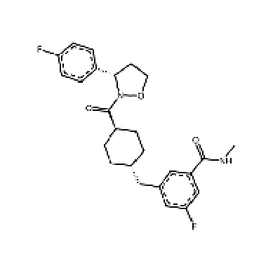 CNC(=O)c1cc(F)cc(C[C@H]2CC[C@H](C(=O)N3OCC[C@H]3c3ccc(F)cc3)CC2)c1